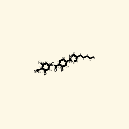 CCCCCc1cnc(-c2ccc(C(=O)Oc3cc(F)c(C#N)c(F)c3)c(F)c2)nc1